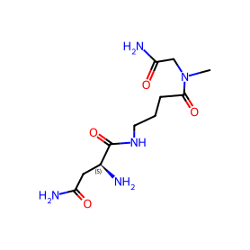 CN(CC(N)=O)C(=O)CCCNC(=O)[C@@H](N)CC(N)=O